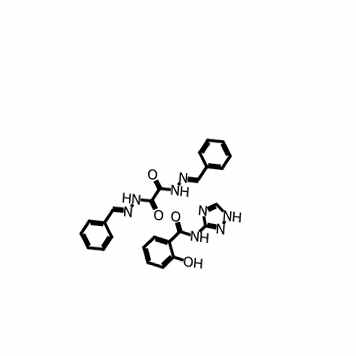 O=C(NN=Cc1ccccc1)C(=O)NN=Cc1ccccc1.O=C(Nc1nc[nH]n1)c1ccccc1O